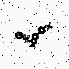 O=C(NC1c2ccc(-c3ccc(OC(F)(F)F)cc3)cc2CC12CC2)O[C@H]1CN2CCC1CC2